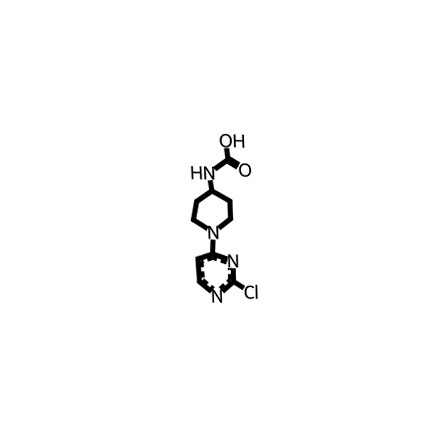 O=C(O)NC1CCN(c2ccnc(Cl)n2)CC1